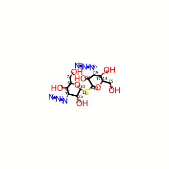 [N-]=[N+]=N[C@@H]1C(O)C(CO)O[C@@H](SC2OC(CO)[C@H](O)[C@@H](N=[N+]=[N-])C2O)[C@H]1O